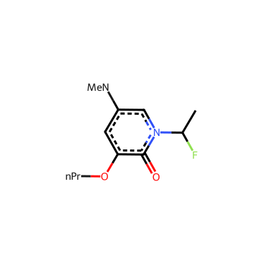 CCCOc1cc(NC)cn(C(C)F)c1=O